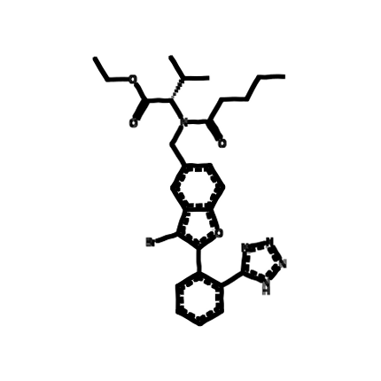 CCCCC(=O)N(Cc1ccc2oc(-c3ccccc3-c3nnn[nH]3)c(Br)c2c1)[C@H](C(=O)OCC)C(C)C